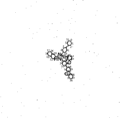 c1ccc(-c2ccc(C3=NC(c4ccc5ccccc5c4)NC(c4ccc(-c5ccc6c(c5)oc5ccccc56)c5oc6ccccc6c45)N3)cc2)cc1